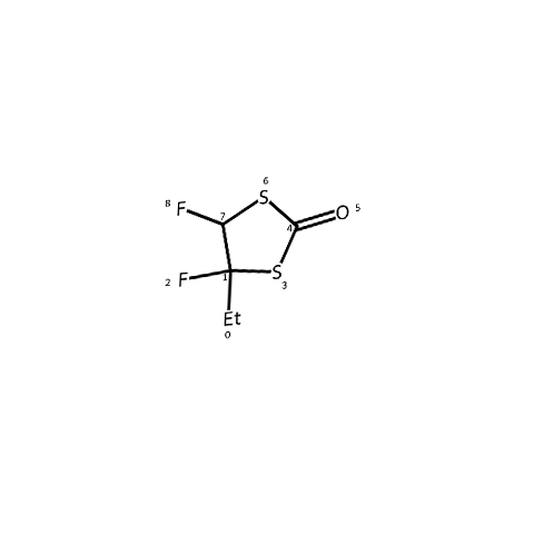 CCC1(F)SC(=O)SC1F